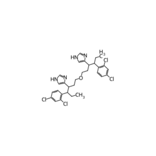 CCC(c1ccc(Cl)cc1Cl)C(CCOCCC(c1c[nH]cn1)C(CC)c1ccc(Cl)cc1Cl)c1c[nH]cn1